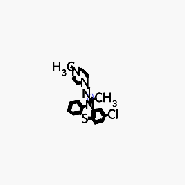 C/C(=N\CN1CCN(C)CC1)N1c2ccccc2Sc2ccc(Cl)cc21